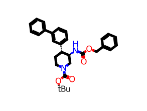 CC(C)(C)OC(=O)N1CC[C@H](c2cccc(-c3ccccc3)c2)[C@@H](NC(=O)OCc2ccccc2)C1